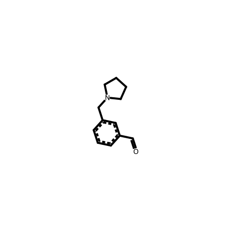 O=Cc1cccc(CN2CCCC2)c1